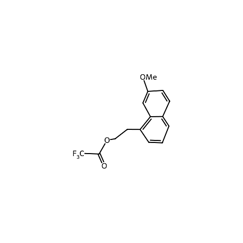 COc1ccc2cccc(CCOC(=O)C(F)(F)F)c2c1